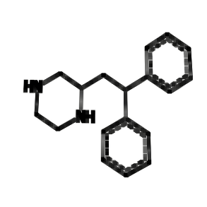 c1ccc(C(CC2CNCCN2)c2ccccc2)cc1